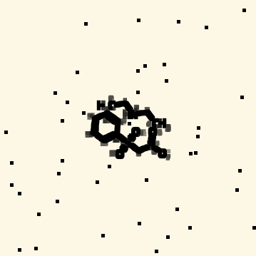 CCNCC.O=[N+]([O-])CS(=O)(=O)c1ccccc1